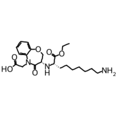 CCOC(=O)[C@H](CCCCCCCN)N[C@H]1COc2ccccc2N(CC(=O)O)C1=O